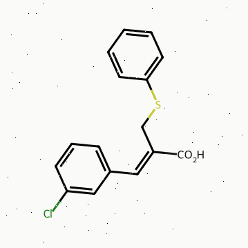 O=C(O)/C(=C/c1cccc(Cl)c1)CSc1ccccc1